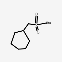 CCC(C)S(=O)(=O)CC1CCCCC1